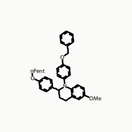 CCCCCOc1ccc(C2CCc3cc(OC)ccc3N2c2ccc(OCc3ccccc3)cc2)cc1